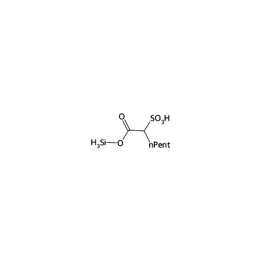 CCCCCC(C(=O)O[SiH3])S(=O)(=O)O